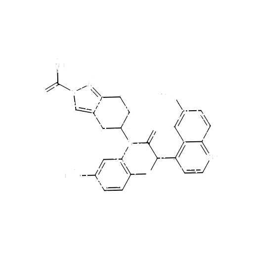 COc1ccc2nccc(C3Sc4ccc(C(=O)O)cc4N(C4CCc5nn(C(N)=O)cc5C4)C3=O)c2c1